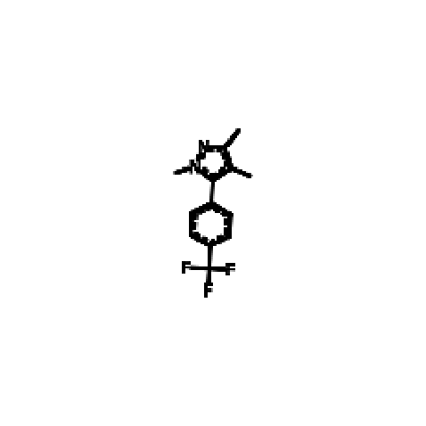 Cc1nn(C)c(-c2ccc(C(F)(F)F)cc2)c1C